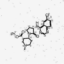 CC(C)OC(=O)[C@H]1CN(C)CC[C@@H]1N1CC[C@H](Nc2ncnc3ccc(C(F)(F)F)cc23)C1=O